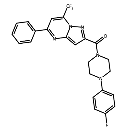 O=C(c1cc2nc(-c3ccccc3)cc(C(F)(F)F)n2n1)N1CCN(c2ccc(F)cc2)CC1